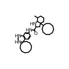 CC1CCCC2(C3CCCCCCCCC3)CC(C(=O)Nc3ccc4c(c3)NCNC43CCCCCCCCC3)NC12